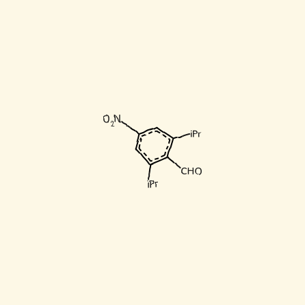 CC(C)c1cc([N+](=O)[O-])cc(C(C)C)c1C=O